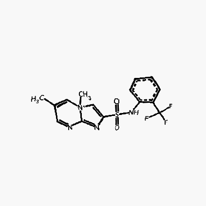 CC1=C[N+]2(C)C=C(S(=O)(=O)Nc3ccccc3C(F)(F)F)N=C2N=C1